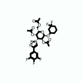 CC(=O)OC[C@@H]1O[C@@H](OC2CCCC(F)(F)C2)[C@@H](OC(C)=O)[C@H](n2cc(-c3cc(F)c(F)c(F)c3)nn2)[C@@H]1OC(C)=O